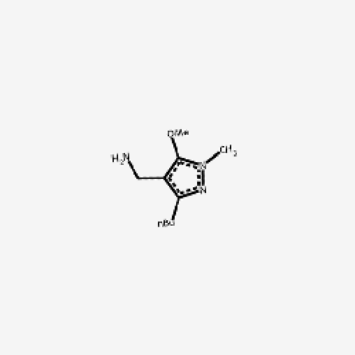 CCCCc1nn(C)c(OC)c1CN